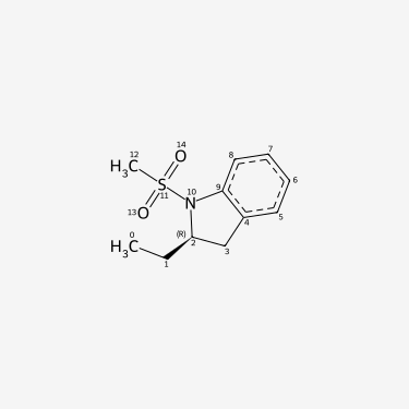 CC[C@@H]1Cc2ccccc2N1S(C)(=O)=O